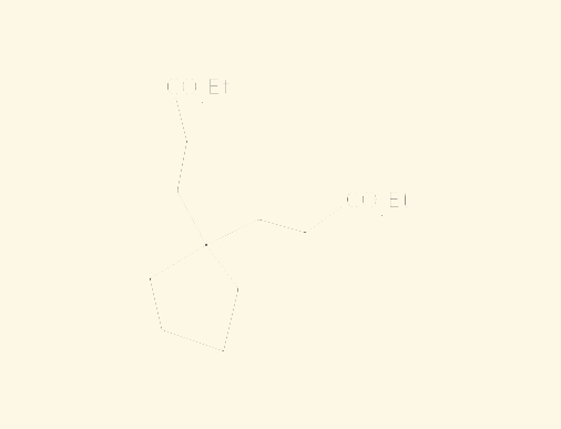 CCOC(=O)CCC1(CCC(=O)OCC)CCCC1